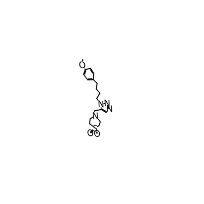 COc1ccc(CCCCn2nncc2CN2CCS(=O)(=O)CC2)cc1